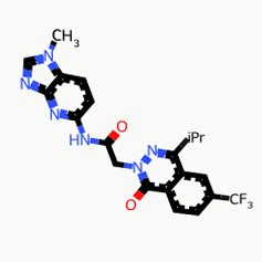 CC(C)c1nn(CC(=O)Nc2ccc3c(ncn3C)n2)c(=O)c2ccc(C(F)(F)F)cc12